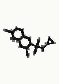 O=c1[c]cc2cc(S(=O)(=O)NC3CC3)c(Cl)cc2[nH]1